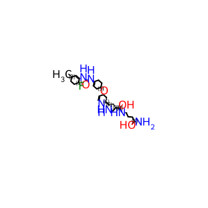 C[C@H]1C=C(NC(=O)NC2=CC[C@@H](OC3C=CN[C@H]([C@H]4C[C@@H]([C@@H](O)NCCC[C@@H](N)O)CN4)C3)CC2)[C@@H](F)CC1